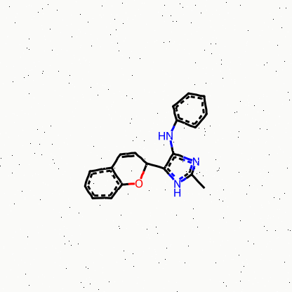 Cc1nc(Nc2ccccc2)c(C2C=Cc3ccccc3O2)[nH]1